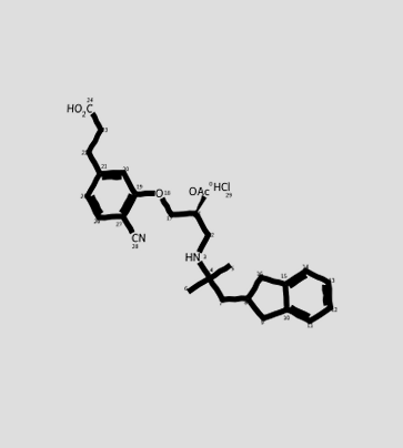 CC(=O)O[C@@H](CNC(C)(C)CC1Cc2ccccc2C1)COc1cc(CCC(=O)O)ccc1C#N.Cl